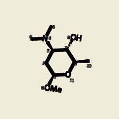 CO[C@H]1C[C@@H](N(C)C)[C@H](O)[C@@H](C)O1